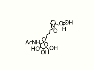 CC(=O)NC1C(OCCCCC(=O)N2CCC[C@H]2COPO)OC(CO)C(O)C1O